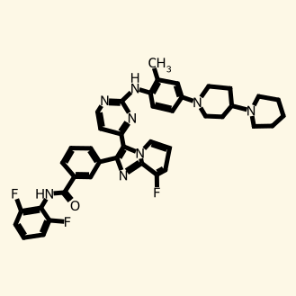 Cc1cc(N2CCC(N3CCCCC3)CC2)ccc1Nc1nccc(-c2c(-c3cccc(C(=O)Nc4c(F)cccc4F)c3)nc3c(F)cccn23)n1